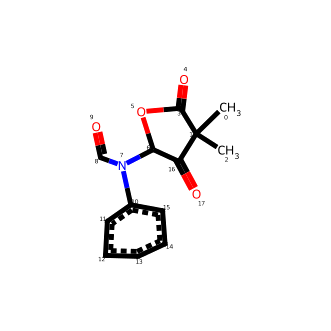 CC1(C)C(=O)OC(N(C=O)c2ccccc2)C1=O